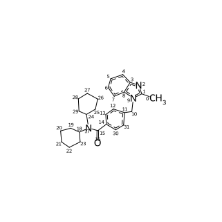 Cc1nc2ccccc2n1Cc1ccc(C(=O)N(C2CCCCC2)C2CCCCC2)cc1